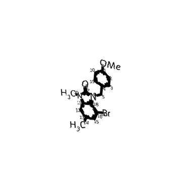 COc1ccc(Cn2c(=O)n(C)c3cc(C)cc(Br)c32)cc1